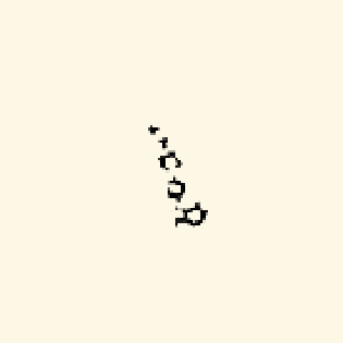 Cc1cccc2c(I)nn(-c3ccc(N4C[C@@H]5C[C@H]4CN5C(=O)OC(C)(C)C)nc3)c12